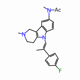 CC(=O)N(C)c1ccc2c(c1)c1c(n2/C=C(\C)c2ccc(F)cc2)CCN(C)C1